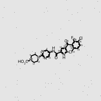 O=C(Nc1cnc(N2CCN(C(=O)O)CC2)nc1)c1cc(C(=O)c2c(Cl)ccc(Cl)c2F)c[nH]1